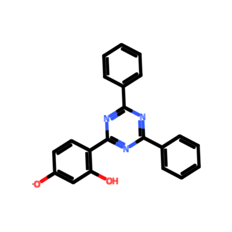 [O]c1ccc(-c2nc(-c3ccccc3)nc(-c3ccccc3)n2)c(O)c1